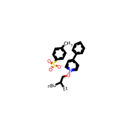 CCCCC(CC)CO[n+]1ccc(-c2ccccc2)cc1.Cc1ccc(S(=O)(=O)[O-])cc1